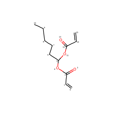 C=CC(=O)OC(CCCCC)OC(=O)C=C